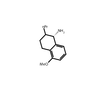 CCCC1CCc2c(OC)cccc2[C@H]1N